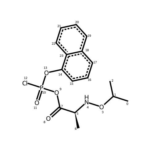 CC(C)ON[C@@H](C)C(=O)OP(=O)(Cl)Oc1cccc2ccccc12